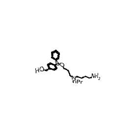 CCCN(CCCCN)CCCOB(c1ccccc1)c1ccc(CO)cc1